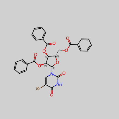 O=C(OC[C@@H]1O[C@H](n2cc(Br)c(=O)[nH]c2=O)[C@@H](OC(=O)c2ccccc2)[C@H]1OC(=O)c1ccccc1)c1ccccc1